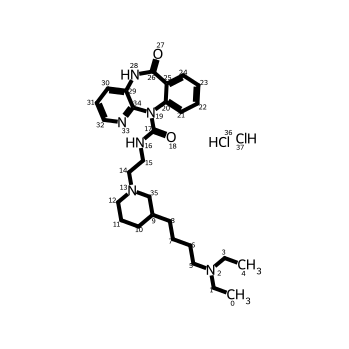 CCN(CC)CCCCC1CCCN(CCNC(=O)N2c3ccccc3C(=O)Nc3cccnc32)C1.Cl.Cl